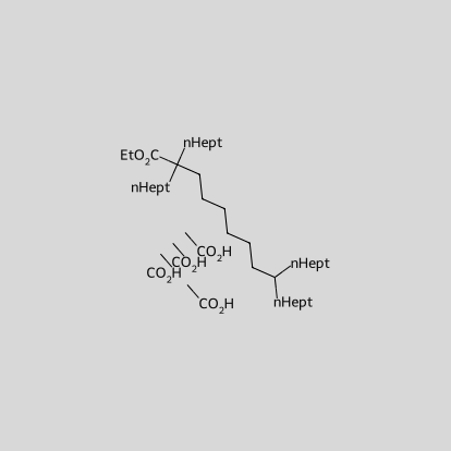 CC(=O)O.CC(=O)O.CC(=O)O.CC(=O)O.CCCCCCCC(CCCCCCC)CCCCCCC(CCCCCCC)(CCCCCCC)C(=O)OCC